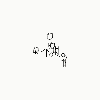 O=C(NCC1CNCCO1)c1ccc(-c2ccccc2)nc1NCCc1ccccn1